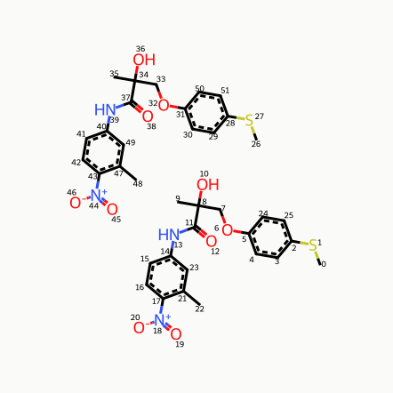 CSc1ccc(OCC(C)(O)C(=O)Nc2ccc([N+](=O)[O-])c(C)c2)cc1.CSc1ccc(OCC(C)(O)C(=O)Nc2ccc([N+](=O)[O-])c(C)c2)cc1